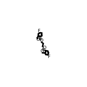 Fc1ccc2c(c1)COB2OCCCOB1OCc2cc(F)ccc21